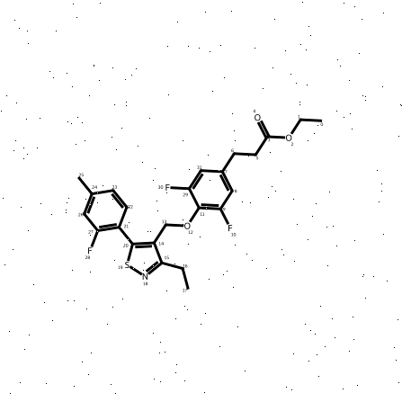 CCOC(=O)CCc1cc(F)c(OCc2c(CC)nsc2-c2ccc(C)cc2F)c(F)c1